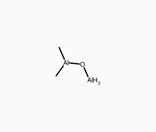 [CH3][Al]([CH3])[O][AlH2]